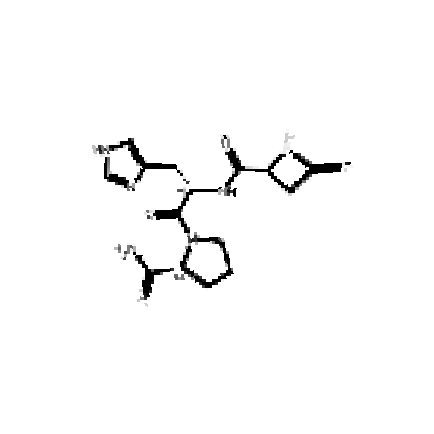 NC(=O)[C@@H]1CCCN1C(=O)[C@H](Cc1c[nH]cn1)NC(=O)C1CC(=O)N1